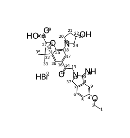 Br.CCOc1ccc2c(c1)C(=N)N(CC(=O)c1cc(N3CCC(O)C3)c(OCC(=O)O)c(C(C)(C)C)c1)C2